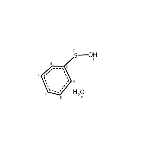 O.OSc1ccccc1